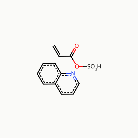 C=CC(=O)OS(=O)(=O)O.c1ccc2ncccc2c1